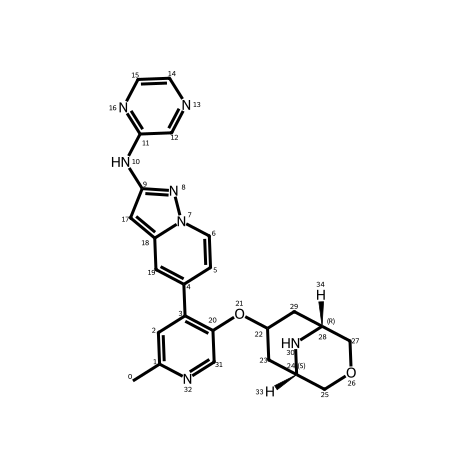 Cc1cc(-c2ccn3nc(Nc4cnccn4)cc3c2)c(OC2C[C@H]3COC[C@@H](C2)N3)cn1